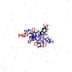 CC(C)[C@H](NC(=O)[C@@H]1CCCN1)C(=O)C(=O)[C@H](CC(N)=O)NNC(Cc1c[nH]c2ccc(O)cc12)C(=O)C(=O)[C@@H](N)CC(=O)O